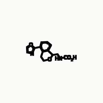 O=C(O)NCC1OCCc2c(-c3ncco3)cccc21